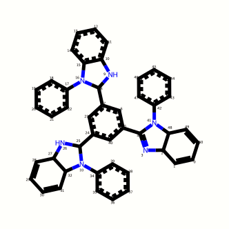 C1=CC2N=C(c3cc(C4Nc5ccccc5N4c4ccccc4)cc(C4NC5C=CC=CC5N4c4ccccc4)c3)N(c3ccccc3)C2C=C1